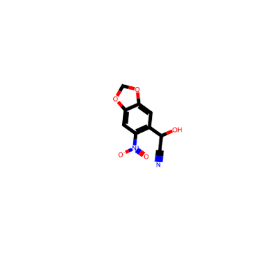 N#CC(O)c1cc2c(cc1[N+](=O)[O-])OCO2